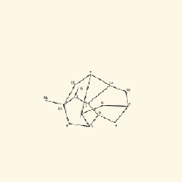 CC1C2C3CC4CC5C3CC1(C)CC5C2C4